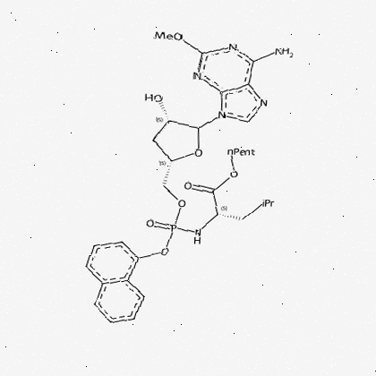 CCCCCOC(=O)[C@H](CC(C)C)NP(=O)(OC[C@@H]1C[C@H](O)C(n2cnc3c(N)nc(OC)nc32)O1)Oc1cccc2ccccc12